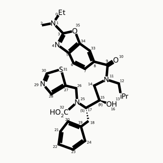 CCN(C)c1nc2ccc(C(=O)N(CC(C)C)C[C@@H](O)[C@H](Cc3ccccc3)N(Cc3cncs3)C(=O)O)cc2o1